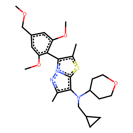 COCc1cc(OC)c(-c2c(C)sc3c(N(CC4CC4)C4CCOCC4)c(C)nn23)c(OC)c1